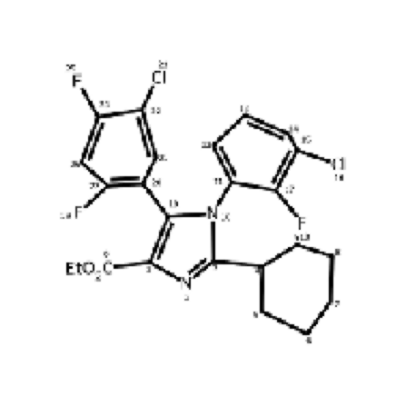 CCOC(=O)c1nc(C2CCCCC2)n(-c2cccc(Cl)c2F)c1-c1cc(Cl)c(F)cc1F